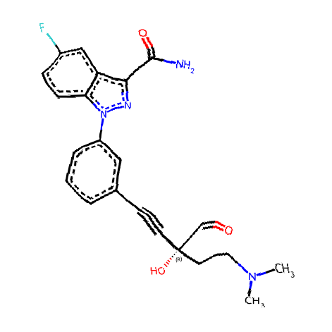 CN(C)CC[C@@](O)(C#Cc1cccc(-n2nc(C(N)=O)c3cc(F)ccc32)c1)C=O